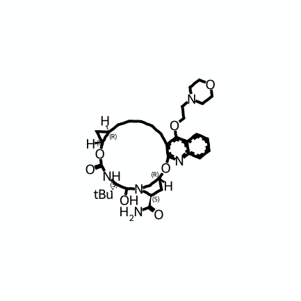 CC(C)(C)[C@@H]1NC(=O)O[C@@H]2C[C@H]2CCCCCc2c(nc3ccccc3c2OCCN2CCOCC2)O[C@@H]2C[C@@H](C(N)=O)N(C2)C1O